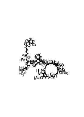 COc1cc2cc(c1Cl)N(C)CC[C@H](OC(=O)Nc1ccc(NC(=O)[C@H](CCCNC(N)=O)NC(=O)[C@@H](NC(=O)CCCCC(=O)ON3C(=O)CCC3=O)C(C)C)c3ncccc13)[C@]1(C)O[C@H]1[C@H](C)[C@@H]1C[C@@](O)(NC(=O)O1)[C@H](OC)/C=C/C=C(\C)C2